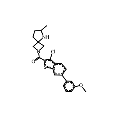 COc1cccc(-c2ccc3c(Cl)c(C(=O)N4CC5(CCC(C)N5)C4)sc3c2)c1